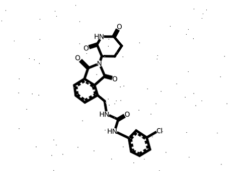 O=C1CCC(N2C(=O)c3cccc(CNC(=O)Nc4cccc(Cl)c4)c3C2=O)C(=O)N1